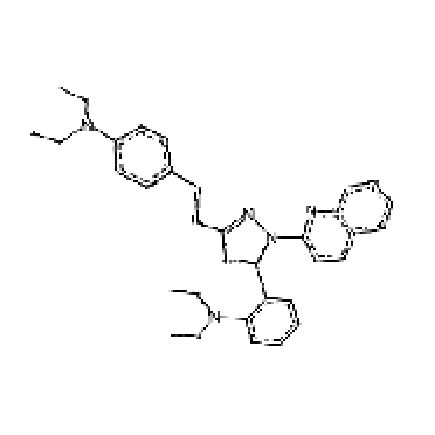 CCN(CC)c1ccc(C=CC2=NN(c3ccc4ccccc4n3)C(c3ccccc3N(CC)CC)C2)cc1